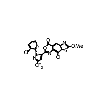 COC1=NC2C=c3c(nc(-c4cc(C(F)(F)F)nn4-c4ncccc4Cl)oc3=O)=C(Cl)C2S1